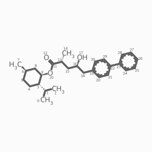 CC(C)[C@@H]1CC[C@@H](C)C[C@H]1OC(=O)[C@H](C)C[C@@H](O)Cc1ccc(-c2ccccc2)cc1